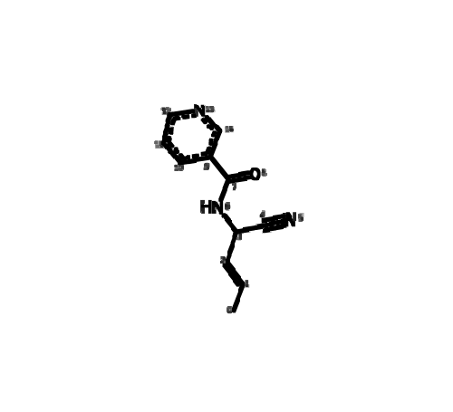 CC=CC(C#N)NC(=O)c1cccnc1